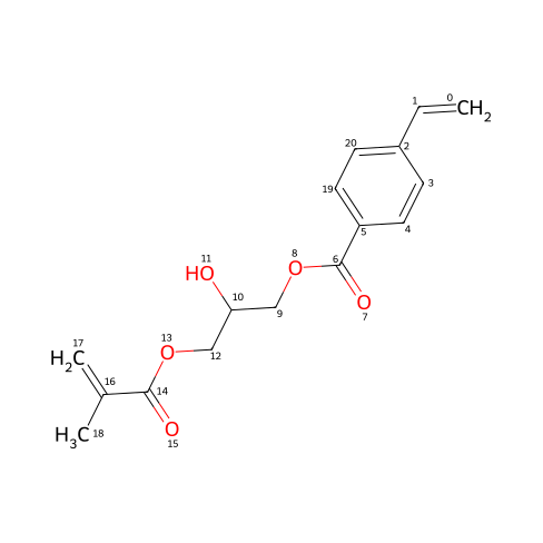 C=Cc1ccc(C(=O)OCC(O)COC(=O)C(=C)C)cc1